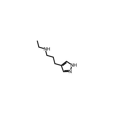 CCNCCCc1cn[nH]c1